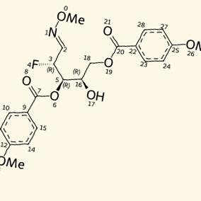 CON=C[C@@H](F)[C@H](OC(=O)c1ccc(OC)cc1)[C@H](O)COC(=O)c1ccc(OC)cc1